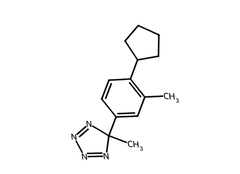 Cc1cc(C2(C)N=NN=N2)ccc1C1CCCC1